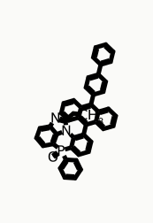 CCc1nc2cccc3c2n1-c1c(-c2c4ccccc4c(-c4ccc(-c5ccccc5)cc4)c4ccccc24)cccc1P3(=O)c1ccccc1